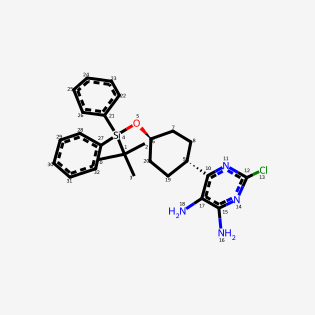 CC(C)(C)[Si](O[C@H]1CC[C@H](c2nc(Cl)nc(N)c2N)CC1)(c1ccccc1)c1ccccc1